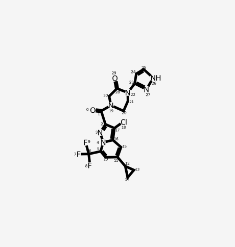 O=C(c1nn2c(C(F)(F)F)cc(C3CC3)cc2c1Cl)N1CCN(c2cc[nH]n2)C(=O)C1